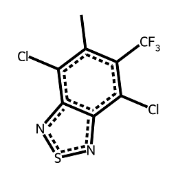 Cc1c(C(F)(F)F)c(Cl)c2nsnc2c1Cl